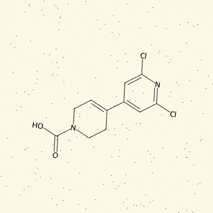 O=C(O)N1CC=C(c2cc(Cl)nc(Cl)c2)CC1